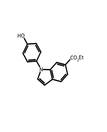 CCOC(=O)c1ccc2ccn(-c3ccc(O)cc3)c2c1